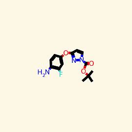 CC(C)(C)OC(=O)n1ccc(Oc2ccc(N)c(F)c2)n1